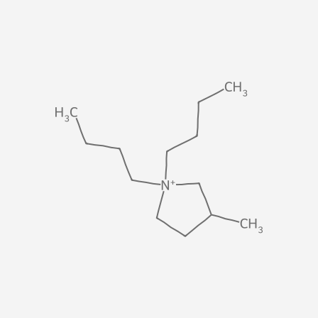 CCCC[N+]1(CCCC)CCC(C)C1